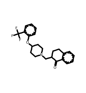 O=C1c2ccccc2CCC1CN1CCC(Oc2ccccc2C(F)(F)F)CC1